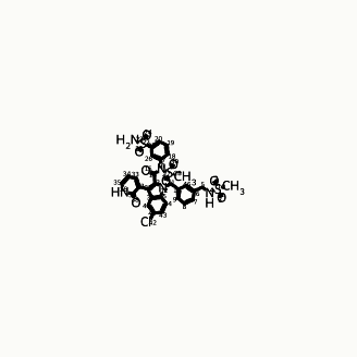 CS(=O)(=O)NCc1cccc(Cn2c(C(=O)N(c3cccc(S(N)(=O)=O)c3)S(C)(=O)=O)c(-c3ccc[nH]c3=O)c3cc(Cl)ccc32)c1